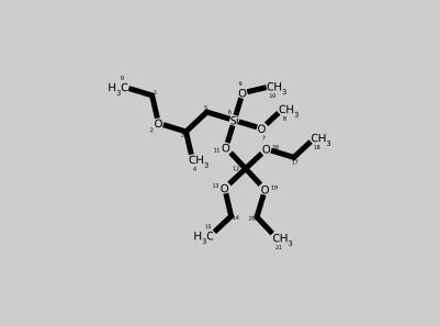 CCOC(C)C[Si](OC)(OC)OC(OCC)(OCC)OCC